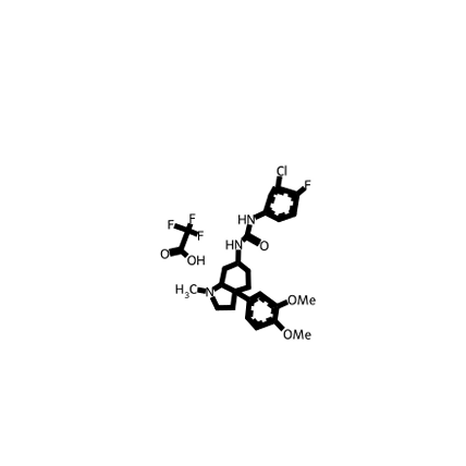 COc1ccc(C23CCC(NC(=O)Nc4ccc(F)c(Cl)c4)CC2N(C)CC3)cc1OC.O=C(O)C(F)(F)F